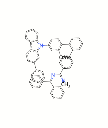 C/N=C(\N=C(c1ccccc1)c1ccccc1)c1ccc(-c2ccccc2-c2ccc(-n3c4ccccc4c4ccc(-c5ccccc5)cc43)cc2OC)cc1